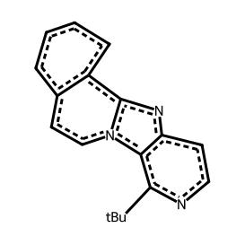 CC(C)(C)c1nccc2nc3c4ccccc4ccn3c12